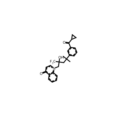 CC(C)(CC(O)(Cn1ccc(=O)c2ccccc21)C(F)(F)F)c1cccc(C(=O)C2CC2)c1